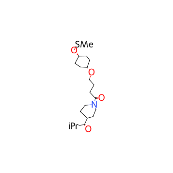 CSO[C@H]1CC[C@H](OCCCC(=O)N2CCC(C(=O)C(C)C)CC2)CC1